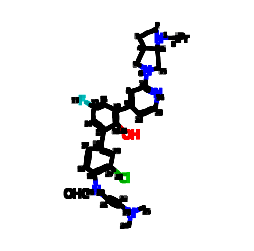 CC(C)N1CCC2CN(c3cc(-c4cc(F)cc(-c5ccc(N(C#CN(C)C)C=O)c(Cl)c5)c4O)ccn3)CC21